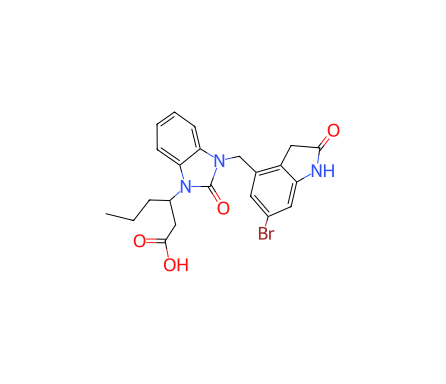 CCCC(CC(=O)O)n1c(=O)n(Cc2cc(Br)cc3c2CC(=O)N3)c2ccccc21